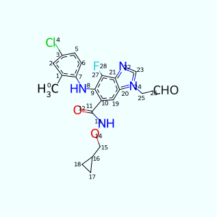 Cc1cc(Cl)ccc1Nc1c(C(=O)NOCC2CC2)cc2c(ncn2CC=O)c1F